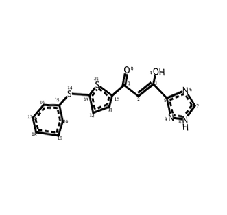 O=C(C=C(O)c1nc[nH]n1)c1ccc(Sc2ccccc2)s1